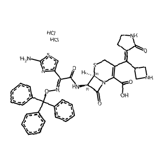 Cl.Cl.Nc1nc(C(=NOC(c2ccccc2)(c2ccccc2)c2ccccc2)C(=O)N[C@@H]2C(=O)N3C(C(=O)O)=C(C(=C4CCNC4=O)C4CNC4)CS[C@H]23)cs1